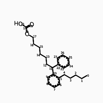 CCCCCc1ccccc1C(CCCCCCOC(=O)O)c1ccccc1